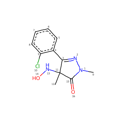 CN1N=C(c2ccccc2Cl)C(C)(NO)C1=O